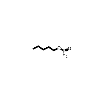 CCCCCO[PH2]=O